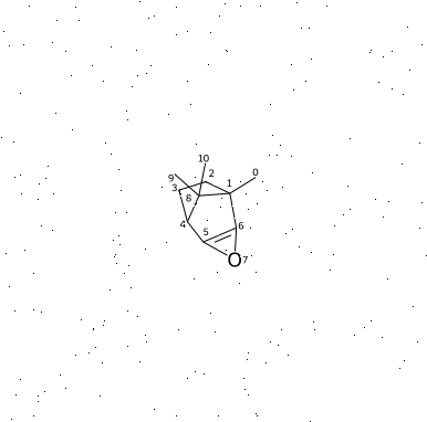 CC12CCC(C3=C1O3)C2(C)C